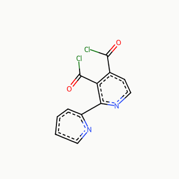 O=C(Cl)c1ccnc(-c2ccccn2)c1C(=O)Cl